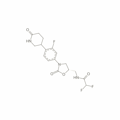 O=C1CCC(c2ccc(N3C[C@H](CNC(=O)C(F)F)OC3=O)cc2F)CN1